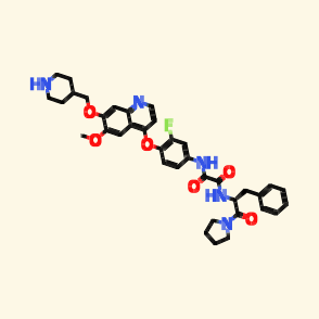 COc1cc2c(Oc3ccc(NC(=O)C(=O)N[C@@H](Cc4ccccc4)C(=O)N4CCCC4)cc3F)ccnc2cc1OCC1CCNCC1